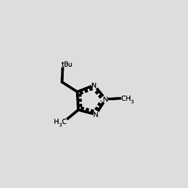 Cc1nn(C)nc1CC(C)(C)C